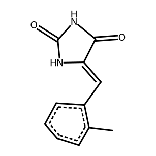 Cc1ccccc1/C=C1\NC(=O)NC1=O